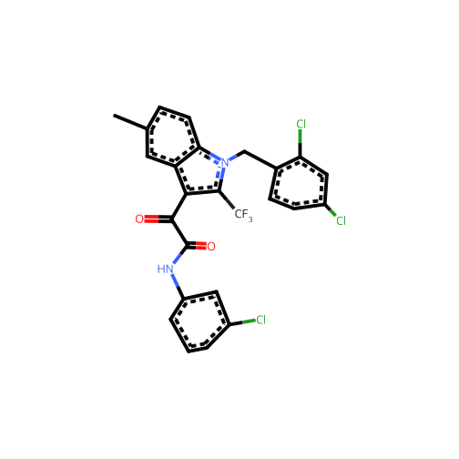 Cc1ccc2c(c1)c(C(=O)C(=O)Nc1cccc(Cl)c1)c(C(F)(F)F)n2Cc1ccc(Cl)cc1Cl